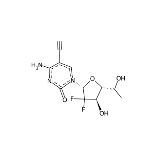 C#Cc1cn([C@@H]2O[C@H](C(C)O)[C@@H](O)C2(F)F)c(=O)nc1N